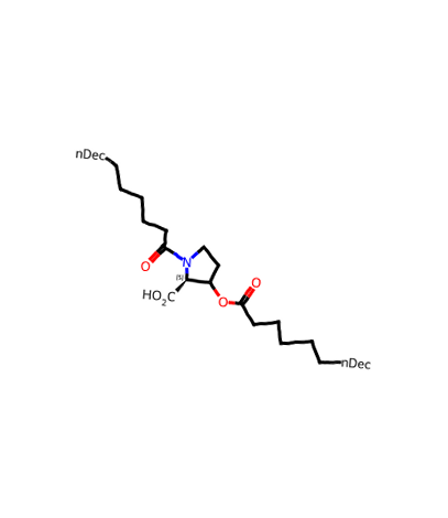 CCCCCCCCCCCCCCCC(=O)OC1CCN(C(=O)CCCCCCCCCCCCCCC)[C@@H]1C(=O)O